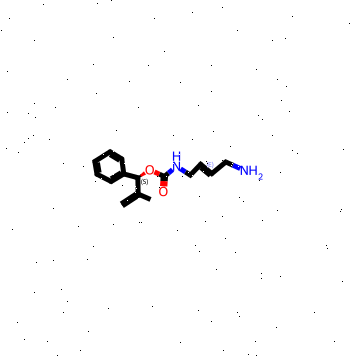 C=C(C)[C@H](OC(=O)NC/C=C/CN)c1ccccc1